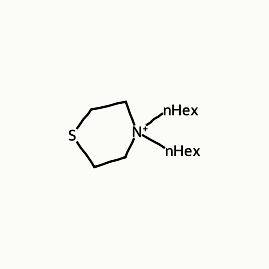 CCCCCC[N+]1(CCCCCC)CCSCC1